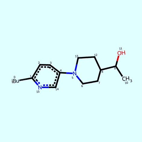 CCC(C)c1ccc(N2CCC(C(C)O)CC2)cn1